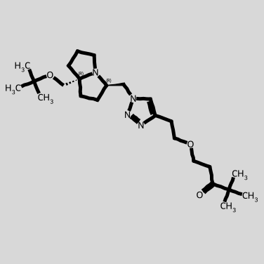 CC(C)(C)OC[C@]12CCCN1[C@@H](Cn1cc(CCOCCC(=O)C(C)(C)C)nn1)CC2